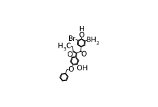 Bc1cc(C(=O)c2c(CC)oc3cc(OCc4ccccc4)c(O)cc23)cc(Br)c1O